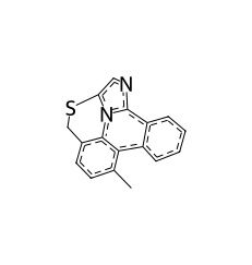 Cc1ccc2c3c1c1ccccc1c1ncc(n13)SC2